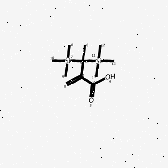 C=C(C(=O)O)C(C)([Si](C)(C)C)[Si](C)(C)C